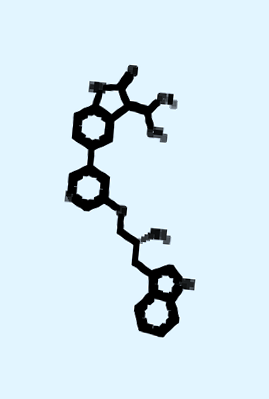 CC(C)=C1C(=O)Nc2ccc(-c3cncc(OC[C@H](N)Cc4c[nH]c5ccccc45)c3)cc21